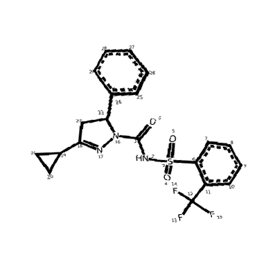 O=C(NS(=O)(=O)c1ccccc1C(F)(F)F)N1N=C(C2CC2)CC1c1ccccc1